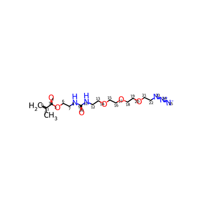 C=C(C)C(=O)OCCNC(=O)NCCOCCOCCOCCN=[N+]=[N-]